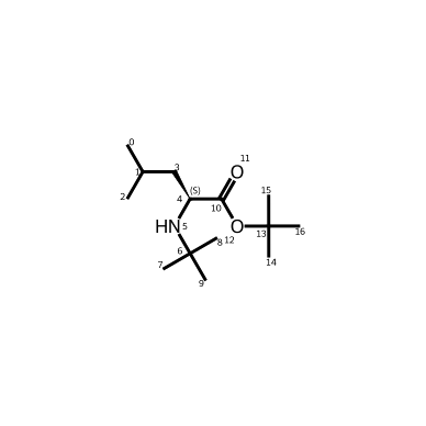 CC(C)C[C@H](NC(C)(C)C)C(=O)OC(C)(C)C